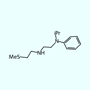 CSCCNCCN(c1ccccc1)C(C)C